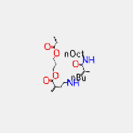 C=C(C)C(=O)NCCCCCCCC.C=CC(=O)OCCCOC(=O)C(=C)CCNCCCC